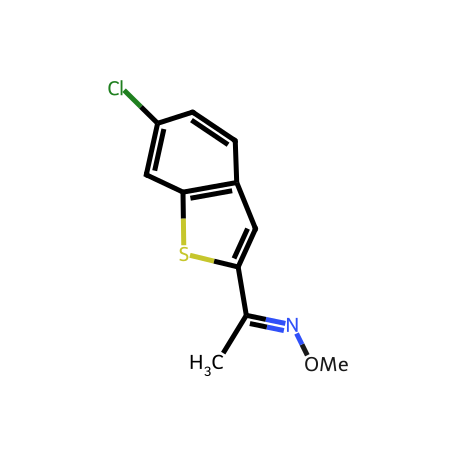 CON=C(C)c1cc2ccc(Cl)cc2s1